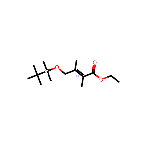 CCOC(=O)/C(C)=C(\C)CO[Si](C)(C)C(C)(C)C